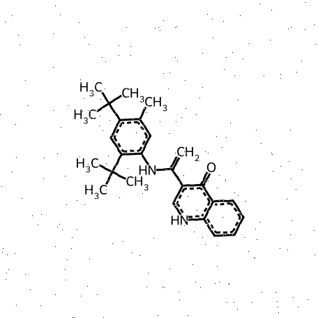 C=C(Nc1cc(C)c(C(C)(C)C)cc1C(C)(C)C)c1c[nH]c2ccccc2c1=O